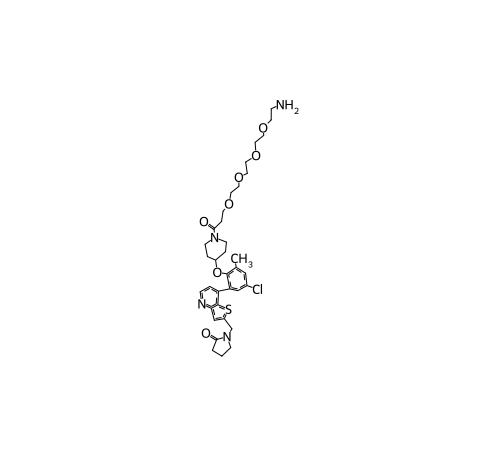 Cc1cc(Cl)cc(-c2ccnc3cc(CN4CCCC4=O)sc23)c1OC1CCN(C(=O)CCOCCOCCOCCOCCN)CC1